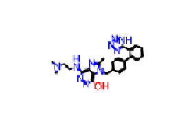 Cc1nc2c(NCCN(C)C)nnc(O)c2n1Cc1ccc(-c2ccccc2-c2nnn[nH]2)cc1